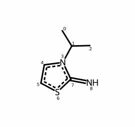 CC(C)n1ccsc1=N